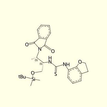 C[C@@H]([C@@H](CO[Si](C)(C)C(C)(C)C)NC(=S)Nc1cccc2c1OCC2)N1C(=O)c2ccccc2C1=O